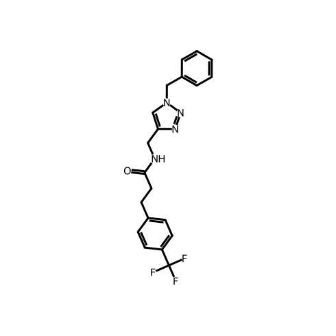 O=C(CCc1ccc(C(F)(F)F)cc1)NCc1cn(Cc2ccccc2)nn1